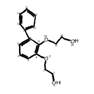 OCCOc1cccc(-c2ccccc2)c1OCCO